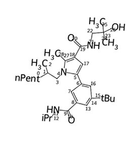 CCCCCC(C)Cn1c(-c2cc(C(=O)NC(C)C)cc(C(C)(C)C)c2)cc(C(=O)NCC(C)(C)O)c1C